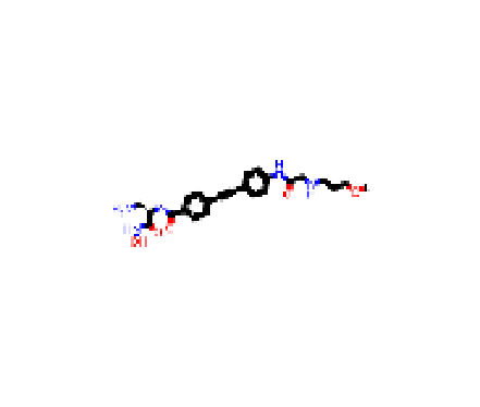 COCCCNCC(=O)Nc1ccc(C#Cc2ccc(C(=O)N[C@@H](CN)C(=O)NO)cc2)cc1